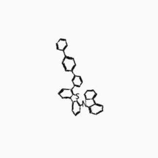 c1ccc(-c2ccc(-c3cccc(-c4cccc5c4sc4c(-n6c7ccccc7c7ccccc76)cccc45)c3)cc2)cc1